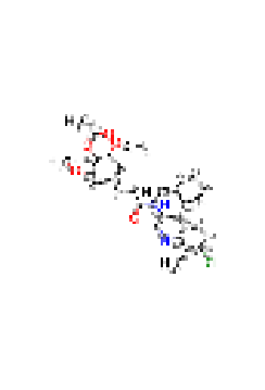 COc1cc(C=CC(=O)Nc2cnc3c(C)c(Cl)ccc3c2-c2ccccc2C)cc(OC)c1OC(C)=O